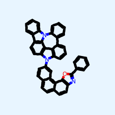 c1ccc(-c2nc3ccc4ccc5ccc(-n6c7cccc8c9ccccc9n9c%10ccccc%10c%10ccc6c(c87)c%109)cc5c4c3o2)cc1